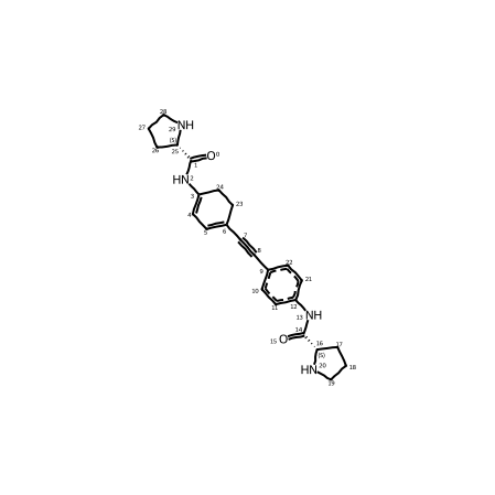 O=C(NC1=CC=C(C#Cc2ccc(NC(=O)[C@@H]3CCCN3)cc2)CC1)[C@@H]1CCCN1